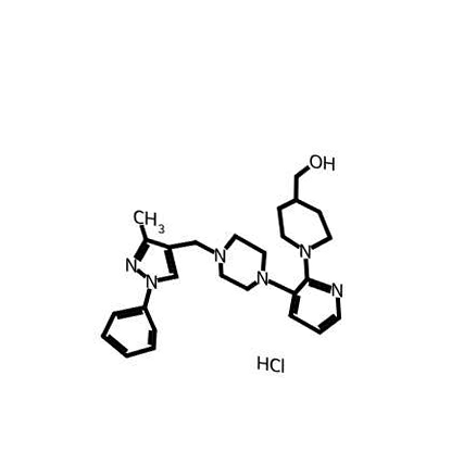 Cc1nn(-c2ccccc2)cc1CN1CCN(c2cccnc2N2CCC(CO)CC2)CC1.Cl